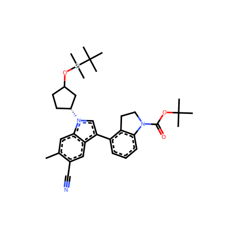 Cc1cc2c(cc1C#N)c(-c1cccc3c1CCN3C(=O)OC(C)(C)C)cn2[C@@H]1CCC(O[Si](C)(C)C(C)(C)C)C1